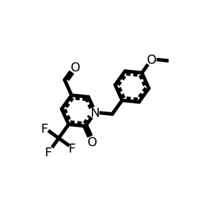 COc1ccc(Cn2cc(C=O)cc(C(F)(F)F)c2=O)cc1